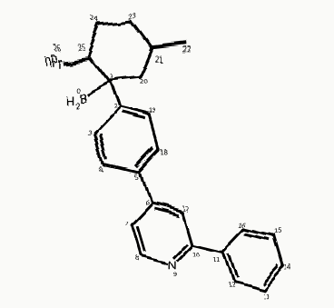 BC1(c2ccc(-c3ccnc(-c4ccccc4)c3)cc2)CC(C)CCC1CCC